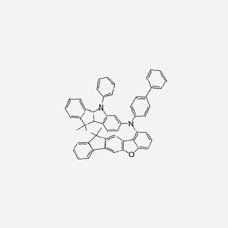 CC1(C)c2ccccc2-c2cc3oc4cccc(N(c5ccc(-c6ccccc6)cc5)c5ccc6c(c5)N(c5ccccc5)C5c7ccccc7C(C)(C)C65)c4c3cc21